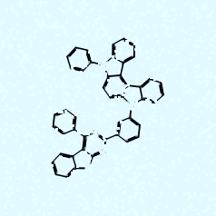 c1ccc(-c2nc(-c3cccc(-n4c5ccccc5c5c6c7ccccc7n(-c7ccccc7)c6ccc54)c3)nc3sc4ccccc4c23)cc1